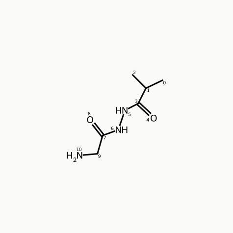 CC(C)C(=O)NNC(=O)CN